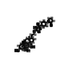 CC[C@H]1[C@@H](O)[C@@H]2[C@H](CC[C@]3(C)[C@@H](CCOC(=O)NS(=O)(=O)c4ccc(N5CCCC5=O)cc4)CC[C@@H]23)[C@@]2(C)CC[C@@H](O)C[C@@H]12